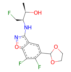 C[C@@H](O)[C@H](CF)Nc1noc2c(F)c(F)c(C3OCCO3)cc12